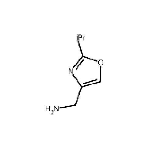 CC(C)c1nc(CN)co1